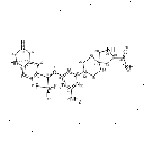 Nc1nc(O[C@H](c2ccc3c(c2)CNCN3)C(F)(F)F)cc(N2CCC3(CC2)CNC(C(=O)O)C3)n1